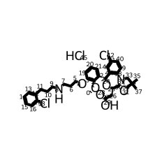 COc1c(OCCCNCCCc2ccccc2Cl)cccc1[C@H]1O[C@H](CC(=O)O)C(=O)N(CC(C)(C)C)c2ccc(Cl)cc21.Cl